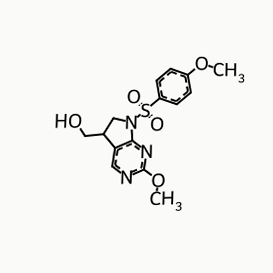 COc1ccc(S(=O)(=O)N2CC(CO)c3cnc(OC)nc32)cc1